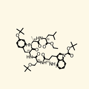 CCOC(=O)[C@H](CC(C)C)NC(=O)[C@@H](C)NC(=O)[C@H](Cc1ccc(OC(C)(C)C)cc1)NC(=O)[C@H](COC(C)(C)C)NC(=O)[C@@H](N)Cc1cn(C(=O)OC(C)(C)C)c2ccccc12